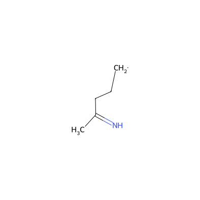 [CH2]CCC(C)=N